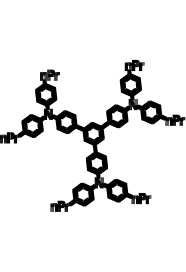 CCCc1ccc(N(c2ccc(CCC)cc2)c2ccc(-c3cc(-c4ccc(N(c5ccc(CCC)cc5)c5ccc(CCC)cc5)cc4)cc(-c4ccc(N(c5ccc(CCC)cc5)c5ccc(CCC)cc5)cc4)c3)cc2)cc1